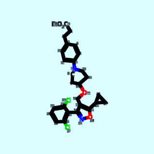 CCOC(=O)CCc1ccc(N2CCC(OCc3c(-c4c(Cl)cccc4Cl)noc3C3CC3)CC2)cc1